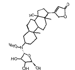 CON(C1CCC2(C)C(CCC3C2CCC2(C)C(C4=CC(=O)OC4)CCC32O)C1)[C@@H]1O[C@@H](O)C(O)C1O